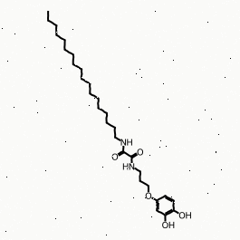 CCCCCCCCCCCCCCCCCCNC(=O)C(=O)NCCCOc1ccc(O)c(O)c1